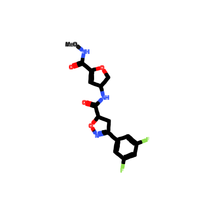 CONC(=O)C1=CC(NC(=O)C2CC(c3cc(F)cc(F)c3)=NO2)CO1